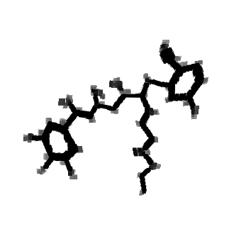 CCONCCOC(Sc1cc(Cl)ccc1C#N)[C@@H](O)CN(N)/C=C(\N)c1cc(F)c(F)c(F)c1